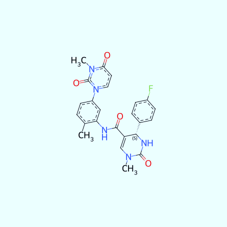 Cc1ccc(-n2ccc(=O)n(C)c2=O)cc1NC(=O)C1=CN(C)C(=O)N[C@H]1c1ccc(F)cc1